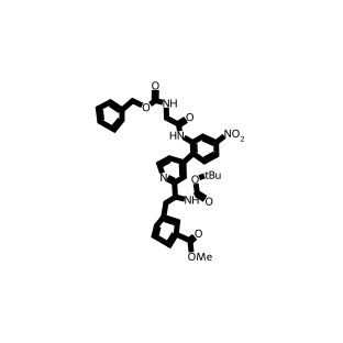 COC(=O)c1cccc(CC(NC(=O)OC(C)(C)C)c2cc(-c3ccc([N+](=O)[O-])cc3NC(=O)CNC(=O)OCc3ccccc3)ccn2)c1